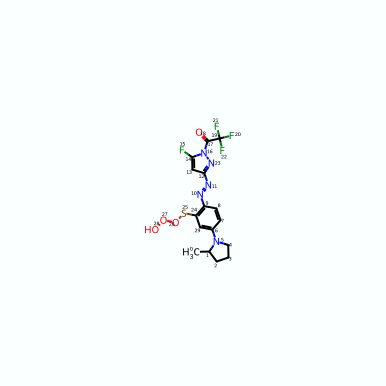 CC1CCCN1c1ccc(N=Nc2cc(F)n(C(=O)C(F)(F)F)n2)c(SOOO)c1